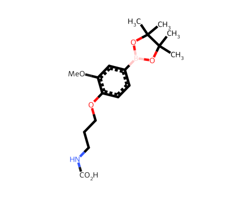 COc1cc(B2OC(C)(C)C(C)(C)O2)ccc1OCCCNC(=O)O